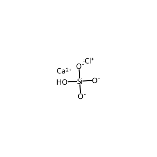 [Ca+2].[Cl+].[O-][Si]([O-])([O-])O